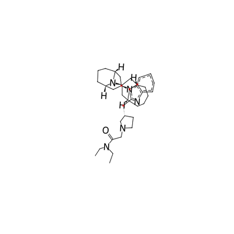 CCN(CC)C(=O)CN1CC[C@@H](Cc2nc3ccccc3n2[C@@H]2C[C@H]3CCC[C@@H](C2)N3[C@H]2C[C@@H]3CCCC[C@@H](C3)C2)C1